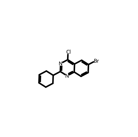 Clc1nc(C2CC=CCC2)nc2ccc(Br)cc12